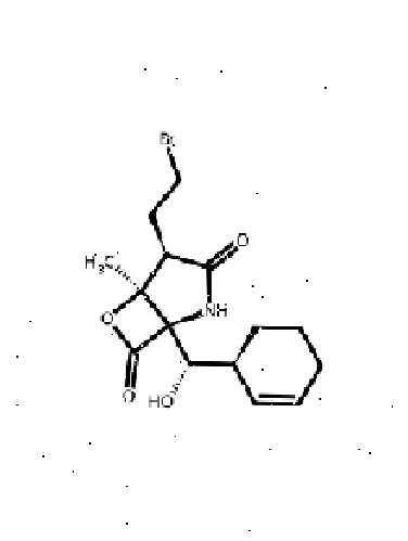 C[C@@]12OC(=O)[C@]1([C@@H](O)[C@@H]1C=CCCC1)NC(=O)[C@@H]2CCBr